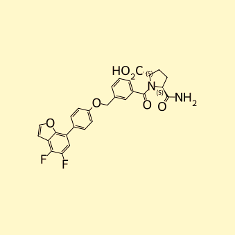 NC(=O)[C@@H]1CC[C@@H](C(=O)O)N1C(=O)c1cccc(COc2ccc(-c3cc(F)c(F)c4ccoc34)cc2)c1